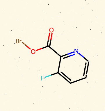 O=C(OBr)c1ncccc1F